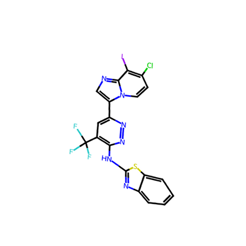 FC(F)(F)c1cc(-c2cnc3c(I)c(Cl)ccn23)nnc1Nc1nc2ccccc2s1